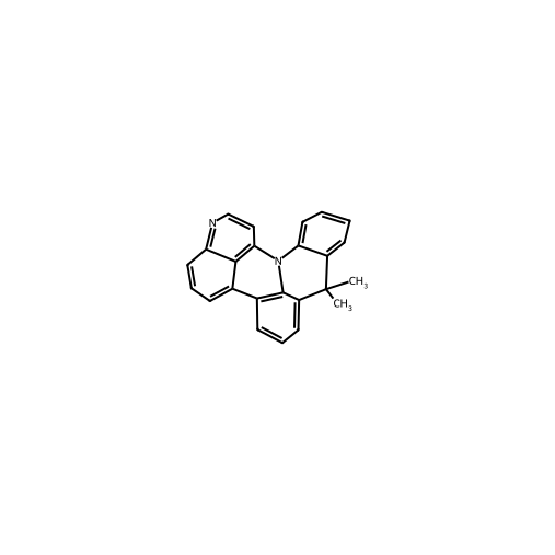 CC1(C)c2ccccc2N2c3c(cccc31)-c1cccc3nccc2c13